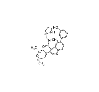 C[C@@H]1CN(c2cnc3ccc(-c4cccc(O)c4)cc3c2C(=O)N(C)C[C@@H]2CCCN2)C[C@H](C)O1